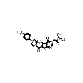 CCN(CC)C(=O)Cn1cnc2sc(C(=O)N3CCN(c4ccc(C(F)(F)F)cc4)CC3)c(C)c2c1=O